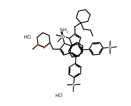 CCCC1(CC2=Cc3c(-c4ccc([Si](C)(C)C)cc4)cccc3[CH]2[Zr]([CH3])([CH3])(=[SiH2])[CH]2C(CC3(CCC)CCCCC3)=Cc3c(-c4ccc([Si](C)(C)C)cc4)cccc32)CCCCC1.Cl.Cl